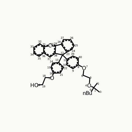 CCCCC(C)(C)OCCOc1ccc(C2(c3ccc(OCCO)cc3)c3ccccc3-c3cc4ccccc4cc32)cc1